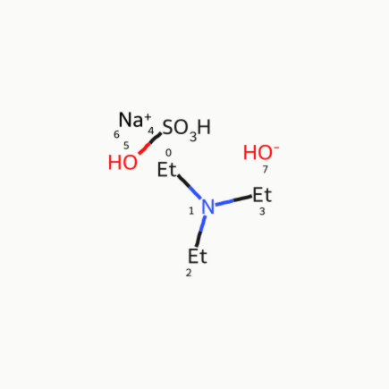 CCN(CC)CC.O=S(=O)(O)O.[Na+].[OH-]